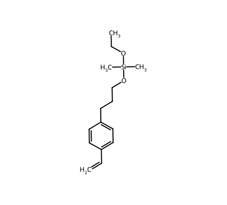 C=Cc1ccc(CCCO[Si](C)(C)OCC)cc1